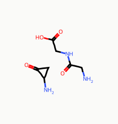 NC1CC1=O.NCC(=O)NCC(=O)O